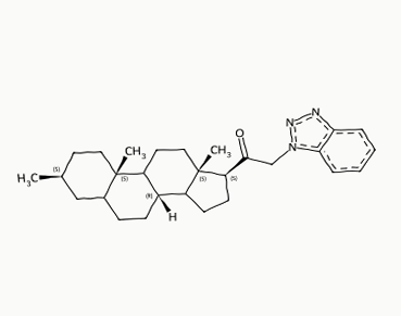 C[C@H]1CC[C@@]2(C)C(CC[C@@H]3C2CC[C@@]2(C)C3CC[C@@H]2C(=O)Cn2nnc3ccccc32)C1